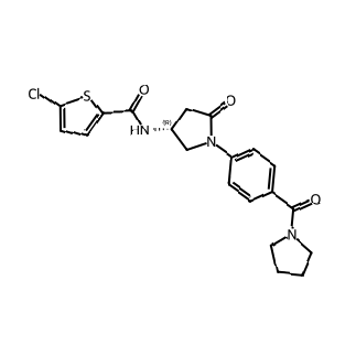 O=C(N[C@@H]1CC(=O)N(c2ccc(C(=O)N3CCCC3)cc2)C1)c1ccc(Cl)s1